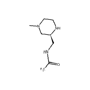 CN1CCN[C@@H](CNC(=O)C(F)(F)F)C1